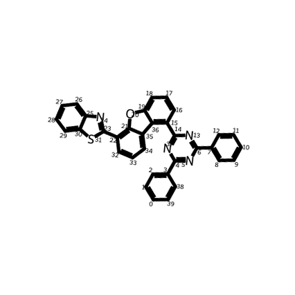 c1ccc(-c2nc(-c3ccccc3)nc(-c3cccc4oc5c(-c6nc7ccccc7s6)cccc5c34)n2)cc1